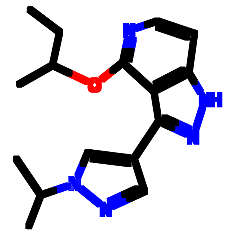 CCC(C)Oc1nccc2[nH]nc(-c3cnn(C(C)C)c3)c12